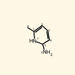 CC1=CC=CC(N)N1